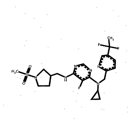 CC(F)(F)c1ccc(CN(c2ncnc(NCC3CCN(S(C)(=O)=O)C3)c2F)C2CC2)nc1